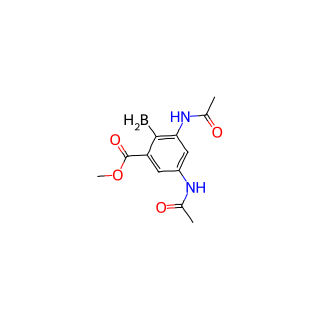 Bc1c(NC(C)=O)cc(NC(C)=O)cc1C(=O)OC